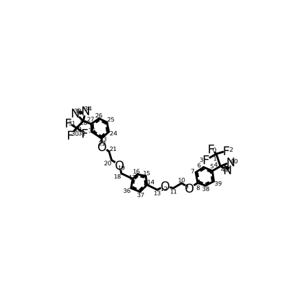 FC(F)(F)C1(c2ccc(OCCOCc3ccc(COCCOc4cccc(C5(C(F)(F)F)N=N5)c4)cc3)cc2)N=N1